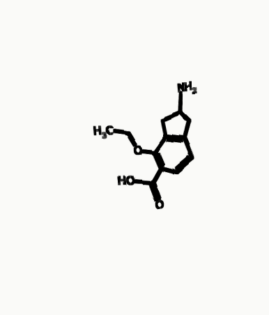 CCOc1c(C(=O)O)ccc2c1CC(N)C2